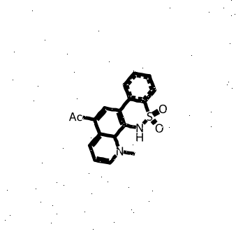 CC(=O)C1=CC2=C(NS(=O)(=O)c3ccccc32)C2C1=CC=CN2C